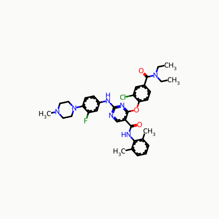 CCN(CC)C(=O)c1ccc(Oc2nc(Nc3ccc(N4CCN(C)CC4)c(F)c3)ncc2C(=O)Nc2c(C)cccc2C)c(Cl)c1